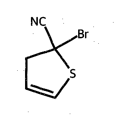 N#CC1(Br)CC=CS1